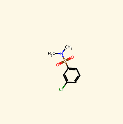 CN(C)S(=O)(=O)c1cc[c]c(Cl)c1